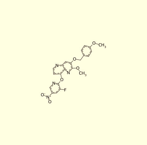 COc1ccc(COc2cc3nccc(Oc4ncc([N+](=O)[O-])cc4F)c3nc2OC)cc1